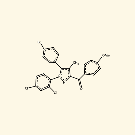 COc1ccc(C(=O)c2nn(-c3ccc(Cl)cc3Cl)c(-c3ccc(Br)cc3)c2C)cc1